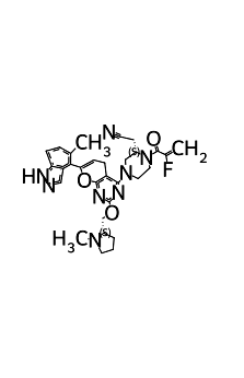 C=C(F)C(=O)N1CCN(c2nc(OC[C@@H]3CCCN3C)nc3c2CC=C(c2c(C)ccc4[nH]ncc24)O3)C[C@@H]1CC#N